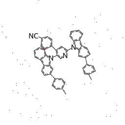 Cc1ccc(-c2ccc3c4ccccc4n(-c4cc(-c5ccc(C#N)cc5)c(-n5c6ccccc6c6ccc(-c7ccc(C)cc7)cc65)cn4)c3c2)cc1